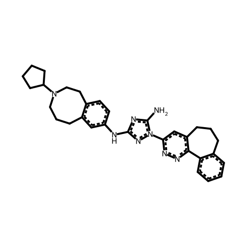 Nc1nc(Nc2ccc3c(c2)CCCN(C2CCCC2)CC3)nn1-c1cc2c(nn1)-c1ccccc1CCC2